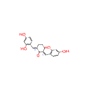 O=C1/C(=C/c2ccc(O)cc2O)CCC/C1=C\c1ccc(O)cc1O